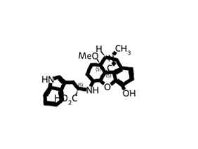 CO[C@@]12CCC(N[C@@H](Cc3c[nH]c4ccccc34)C(=O)O)C3Oc4c(O)ccc5c4[C@@]31CCN(C)[C@@H]2C5